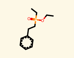 CCOP(=O)(CC)CCc1ccccc1